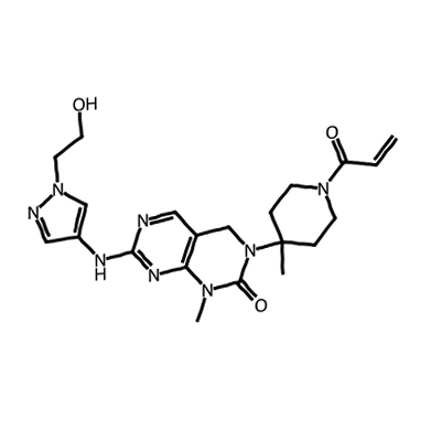 C=CC(=O)N1CCC(C)(N2Cc3cnc(Nc4cnn(CCO)c4)nc3N(C)C2=O)CC1